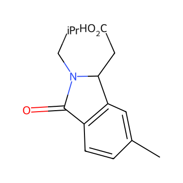 Cc1ccc2c(c1)C(CC(=O)O)N(CC(C)C)C2=O